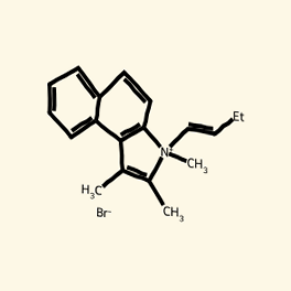 CCC=C[N+]1(C)C(C)=C(C)c2c1ccc1ccccc21.[Br-]